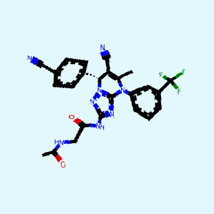 CC(=O)NCC(=O)Nc1nc2n(n1)[C@H](c1ccc(C#N)cc1)C(C#N)=C(C)N2c1cccc(C(F)(F)F)c1